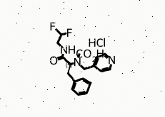 Cl.O=C(NCC(F)F)[C@H](Cc1ccccc1)N(Cc1ccncc1)C(=O)O